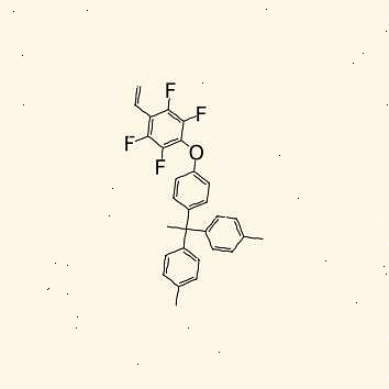 C=Cc1c(F)c(F)c(Oc2ccc(C(C)(c3ccc(C)cc3)c3ccc(C)cc3)cc2)c(F)c1F